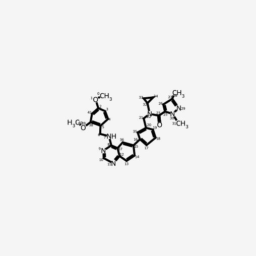 COc1ccc(CNc2ncnc3ccc(-c4cccc(CN(C(=O)c5cc(C)nn5C)C5CC5)c4)cc23)c(OC)c1